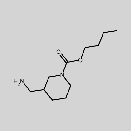 CCCCOC(=O)N1CCCC(CN)C1